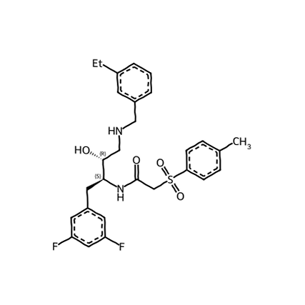 CCc1cccc(CNC[C@@H](O)[C@H](Cc2cc(F)cc(F)c2)NC(=O)CS(=O)(=O)c2ccc(C)cc2)c1